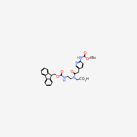 CC(C)(C)OC(=O)Nc1ccc(CC(=O)N(CCNC(=O)OCC2c3ccccc3-c3ccccc32)CC(=O)O)cn1